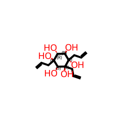 C=CC[C@]1(O)[C@H](O)[C@@H](O)[C@@](O)(CC=C)[C@](O)(CC=C)[C@H]1O